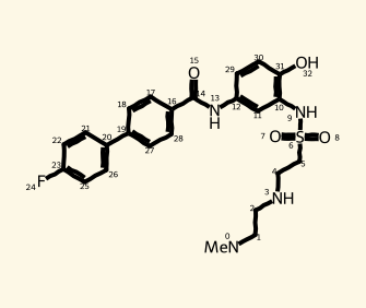 CNCCNCCS(=O)(=O)Nc1cc(NC(=O)c2ccc(-c3ccc(F)cc3)cc2)ccc1O